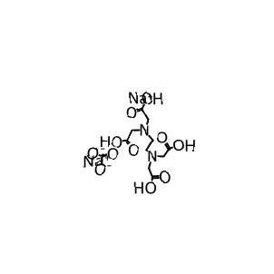 O=C(O)CN(CCN(CC(=O)O)CC(=O)O)CC(=O)O.O=C([O-])[O-].[Na+].[Na+]